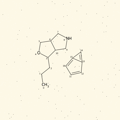 CCCC1OCC2CNCC21.c1cc2cc-2c1